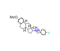 COc1ccc2c(c1)CC[C@@H]1[C@@H]2CC[C@]2(C)[C@@H](NCc3ccc(F)cc3)CC[C@@H]12